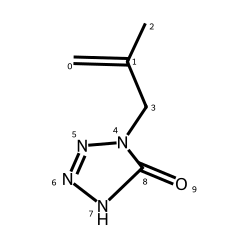 C=C(C)Cn1nn[nH]c1=O